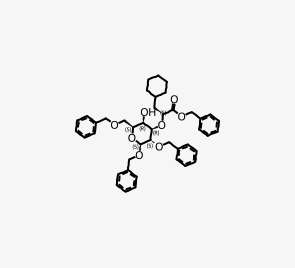 O=C(OCc1ccccc1)[C@H](CC1CCCCC1)O[C@@H]1[C@H](O)[C@H](COCc2ccccc2)O[C@H](OCc2ccccc2)[C@H]1OCc1ccccc1